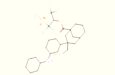 CCC1(C2CCCC(NC3CCCCC3)C2)CC2CCCC(C(=O)OC(C(F)(F)F)C(F)(F)S(=O)(=O)O)(C2)C1